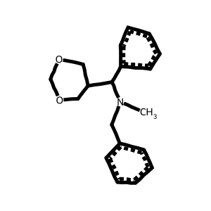 CN(Cc1ccccc1)C(c1ccccc1)C1COCOC1